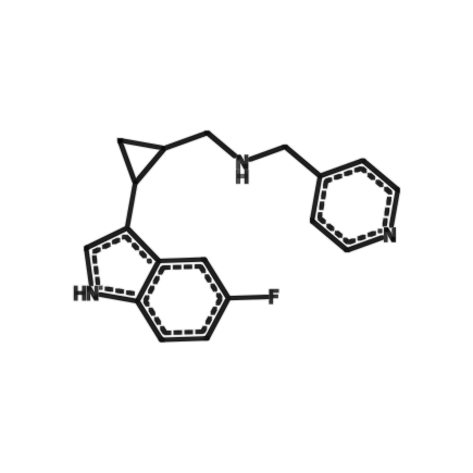 Fc1ccc2[nH]cc(C3CC3CNCc3ccncc3)c2c1